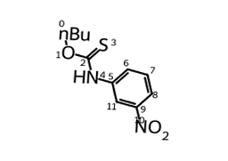 CCCCOC(=S)Nc1cccc([N+](=O)[O-])c1